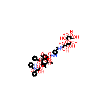 CC(=O)O[C@H]1C(=O)[C@]2(C)[C@@H](OC(=O)Nc3ccc(/C(C)=N/NC(=O)[C@H](O)[C@H](O)[C@H](OC4O[C@H](CO)[C@H](O)[C@H](O)[C@H]4O)[C@H](O)CO)cc3)C[C@H]3OC[C@@]3(OC(C)=O)[C@H]2[C@H](OC(=O)c2ccccc2)[C@]2(O)C[C@H](OC(=O)[C@H](O)[C@@H](NC(=O)c3ccccc3)c3ccccc3)C(C)=C1C2(C)C